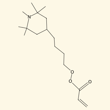 C=CC(=O)OOCCCCC1CC(C)(C)N(C)C(C)(C)C1